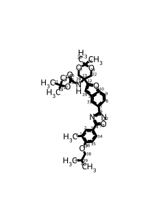 Cc1cc(-c2nc(-c3ccc4oc(C5(NC(=O)OC(C)(C)C)COC(C)(C)OC5)cc4c3)no2)ccc1OCC(C)C